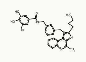 CCCCc1nc2c(C)nc3ccccc3c2n1Cc1cccc(CNC(=O)c2cc(O)c(O)c(O)c2)c1